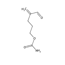 C=C(C=O)CCCOC(N)=O